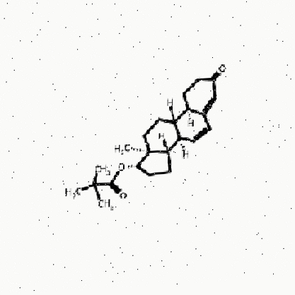 CC(C)(C)C(=O)O[C@H]1CC[C@H]2[C@@H]3C=CC4=CC(=O)CC[C@@H]4[C@H]3CC[C@]12C